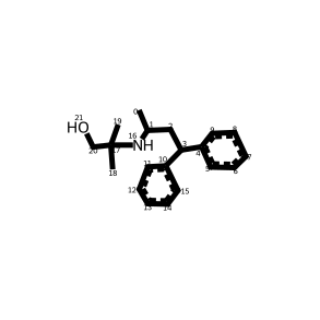 CC(CC(c1ccccc1)c1ccccc1)NC(C)(C)CO